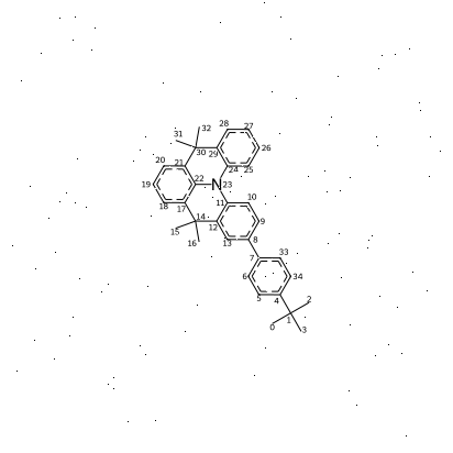 CC(C)(C)c1ccc(-c2ccc3c(c2)C(C)(C)c2cccc4c2N3c2ccccc2C4(C)C)cc1